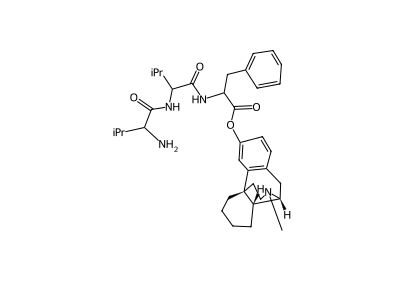 CC(C)C(N)C(=O)NC(C(=O)NC(Cc1ccccc1)C(=O)Oc1ccc2c(c1)[C@@]13CCCC[C@H]1[C@@H](C2)N(C)CC3)C(C)C